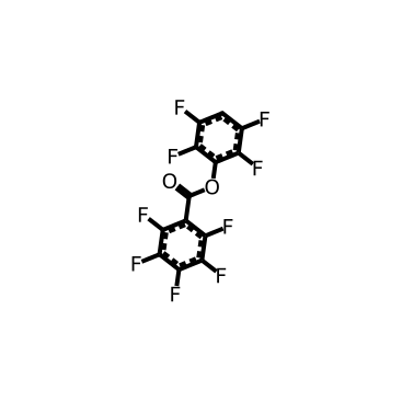 O=C(Oc1c(F)c(F)cc(F)c1F)c1c(F)c(F)c(F)c(F)c1F